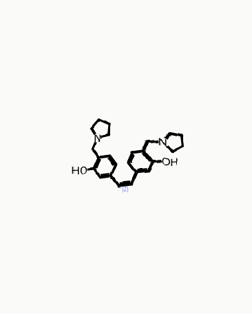 Oc1cc(/C=C\c2ccc(CN3CCCC3)c(O)c2)ccc1CN1CCCC1